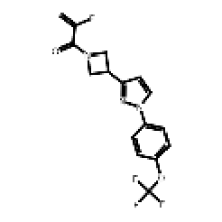 C=C(F)C(=O)N1CC(c2ccn(-c3ccc(OC(F)(F)F)cc3)n2)C1